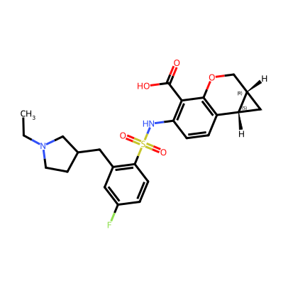 CCN1CCC(Cc2cc(F)ccc2S(=O)(=O)Nc2ccc3c(c2C(=O)O)OC[C@@H]2C[C@H]32)C1